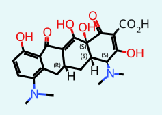 CN(C)c1ccc(O)c2c1C[C@H]1C[C@H]3[C@H](N(C)C)C(O)=C(C(=O)O)C(=O)[C@@]3(O)C(O)=C1C2=O